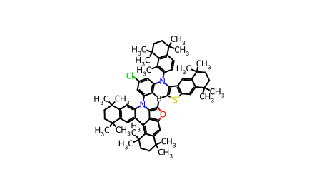 Cc1c(N2c3cc(Cl)cc4c3B(c3oc5cc6c(c7c5c3N4c3cc4c(cc3-7)C(C)(C)CCC4(C)C)C(C)(C)CCC6(C)C)c3sc4cc5c(cc4c32)C(C)(C)CCC5(C)C)ccc2c1C(C)(C)CCC2(C)C